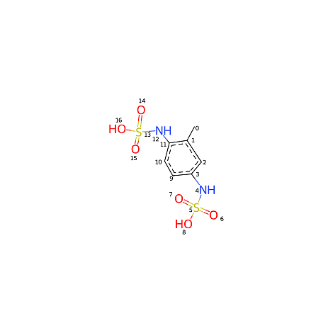 Cc1cc(NS(=O)(=O)O)ccc1NS(=O)(=O)O